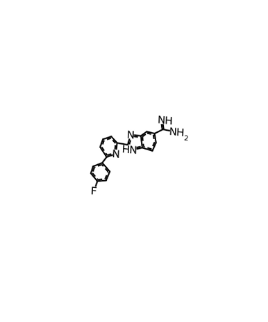 N=C(N)c1ccc2[nH]c(-c3cccc(-c4ccc(F)cc4)n3)nc2c1